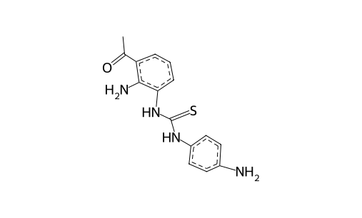 CC(=O)c1cccc(NC(=S)Nc2ccc(N)cc2)c1N